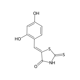 O=C1NC(=S)S/C1=C\c1ccc(O)cc1O